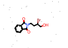 O=C1c2ccccc2C(=O)N1CCC(Br)CO